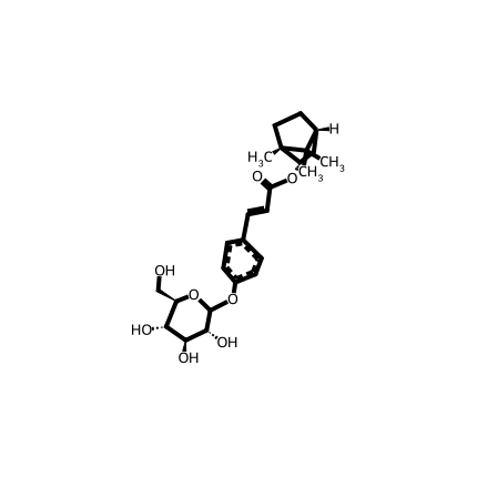 CC1(C)[C@@H]2CC[C@@]1(C)[C@@H](OC(=O)/C=C/c1ccc(OC3O[C@H](CO)[C@@H](O)[C@H](O)[C@H]3O)cc1)C2